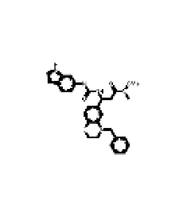 CON(C)C(=O)CC(NC(=O)Nc1ccc2cc[nH]c2c1)c1ccc2c(c1)N(Cc1ccccc1)CCS2